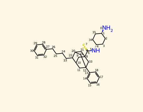 N[C@H]1CC[C@H](NC(=S)C23CC4CC(c5ccccc5)(CC(C2)C4CCCCc2ccccc2)C3)CC1